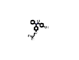 CCN(CC)CCOc1ccc(/C(=C(/Cl)c2ccc(O)cc2)c2ccccc2)cc1